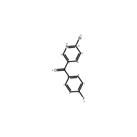 O=C(c1ccc(F)cc1)c1ccc(Br)nc1